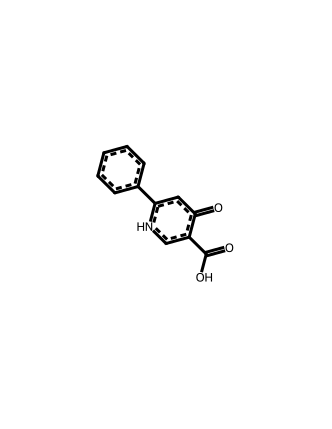 O=C(O)c1c[nH]c(-c2ccccc2)cc1=O